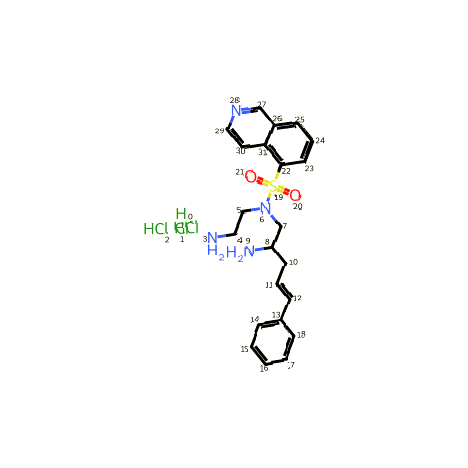 Cl.Cl.Cl.NCCN(CC(N)C/C=C/c1ccccc1)S(=O)(=O)c1cccc2cnccc12